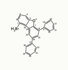 Bc1cccc2oc3c(-c4ccccc4)cc(-c4ccccc4)cc3c12